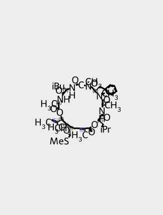 C/C=C(\C)[C@H]1OC(=O)[C@@H](C)NC(=O)[C@H](C(C)CC)NC(=O)CN(C)C(=O)[C@@H](Cc2ccccc2)N(C)C(=O)[C@H](C)NC(=O)[C@@H](CC(C)C)OC(=O)/C(C)=C/C[C@H](OCSC)[C@@H]1C